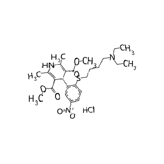 CCN(CC)CCCCSc1ccc([N+](=O)[O-])cc1C1C(C(=O)OC)=C(C)NC(C)=C1C(=O)OC.Cl